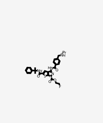 CC(C)NCc1ccc(C(=O)Nc2nn(C(=O)OCCF)c3sc(C(=O)NC(C)(C)c4ccccc4)cc23)cc1